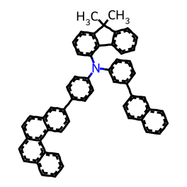 CC1(C)c2ccccc2-c2c(N(c3ccc(-c4ccc5c(ccc6ccc7ccccc7c65)c4)cc3)c3cccc(-c4ccc5ccccc5c4)c3)cccc21